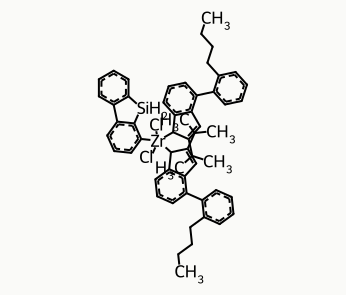 CCCCc1ccccc1-c1cccc2c1C=C(C(C)C)[CH]2[Zr]([Cl])([Cl])([c]1cccc2c1[SiH2]c1ccccc1-2)[CH]1C(C(C)C)=Cc2c(-c3ccccc3CCCC)cccc21